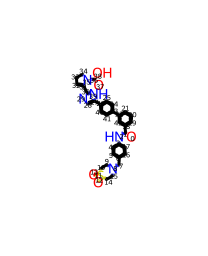 O=C(Nc1ccc(CN2CCS(=O)(=O)CC2)cc1)c1cccc(-c2ccc(-c3cnc(C4=CCCN4C(=O)O)[nH]3)cc2)c1